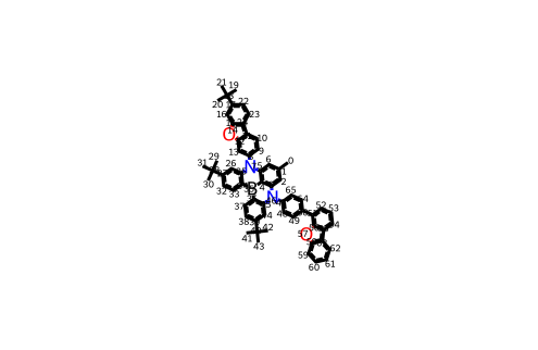 Cc1cc2c3c(c1)N(c1ccc4c(c1)oc1cc(C(C)(C)C)ccc14)c1cc(C(C)(C)C)ccc1B3c1ccc(C(C)(C)C)cc1N2c1ccc(-c2cccc3c2oc2ccccc23)cc1